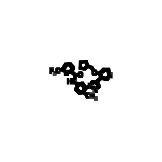 Cc1ccc(NC(=O)c2cccc(C(F)(F)F)n2)cc1-n1cc(-c2cnccc2OCC2CCCC2)cn1